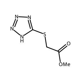 COC(=O)CSc1nnn[nH]1